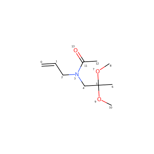 C=CCN(CC(C)(OC)OC)C(C)=O